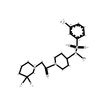 CC(C)N(C1CCN(C(=O)CN2CCCC(F)(F)C2)CC1)S(=O)(=O)c1cccc(C(F)(F)F)c1